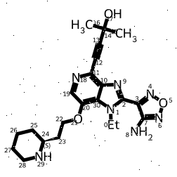 CCn1c(-c2nonc2N)nc2c(C#CC(C)(C)O)ncc(OCC[C@@H]3CCCCN3)c21